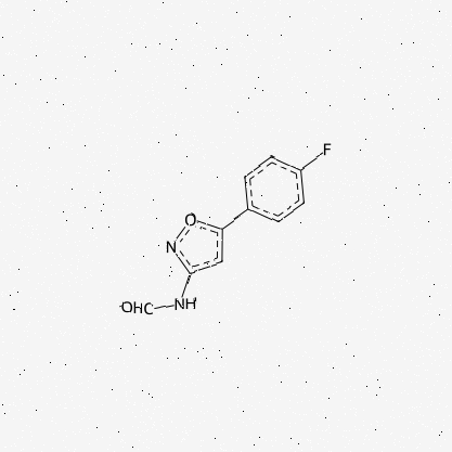 O=[C]Nc1cc(-c2ccc(F)cc2)on1